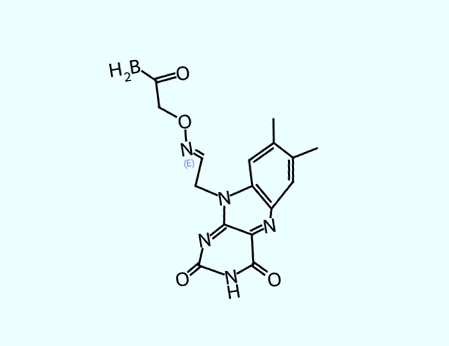 BC(=O)CO/N=C/Cn1c2nc(=O)[nH]c(=O)c-2nc2cc(C)c(C)cc21